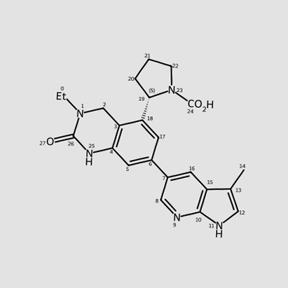 CCN1Cc2c(cc(-c3cnc4[nH]cc(C)c4c3)cc2[C@@H]2CCCN2C(=O)O)NC1=O